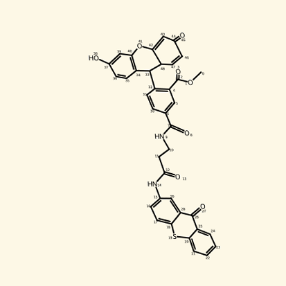 COC(=O)c1cc(C(=O)NCCC(=O)Nc2ccc3sc4ccccc4c(=O)c3c2)ccc1C1c2ccc(O)cc2OC2=CC(=O)C=CC21